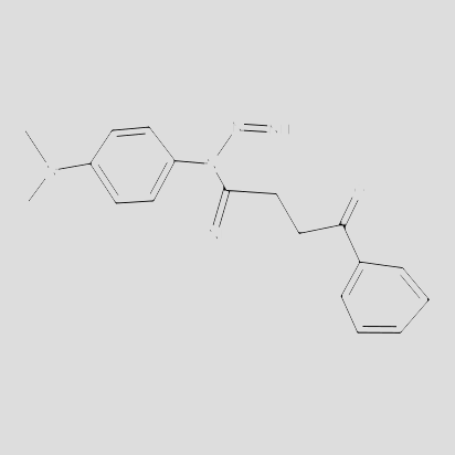 CN(C)c1ccc(N(N=N)C(=N)CCC(=O)c2ccccc2)cc1